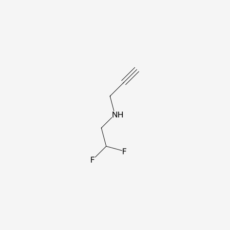 C#CCNCC(F)F